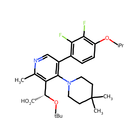 Cc1ncc(-c2ccc(OC(C)C)c(F)c2F)c(N2CCC(C)(C)CC2)c1[C@H](OC(C)(C)C)C(=O)O